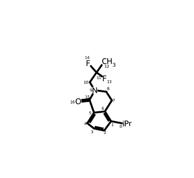 CC(C)c1cccc2c1CCN(CC(C)(F)F)C2=O